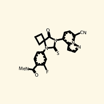 CNC(=O)c1ccc(N2C(=S)N(c3ccc(C#N)n4nccc34)C(=O)C23CCC3)cc1F